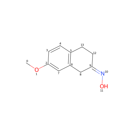 COc1ccc2c(c1)CC(=NO)CC2